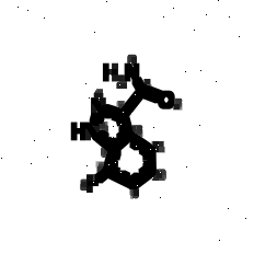 NC(=O)c1n[nH]c2c(F)cccc12